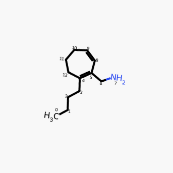 CCCCC1=C(CN)C=CCCC1